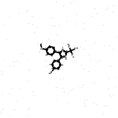 CSc1ccc(-c2nc(C(F)(F)F)sc2-c2ccc(F)cc2)cc1